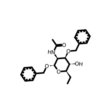 CC[C@H]1O[C@H](OCc2ccccc2)[C@@H](NC(C)=O)[C@@H](OCc2ccccc2)[C@@H]1O